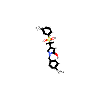 COc1ccc(CN2CC(C(C)(C)S(=O)(=O)c3cccc(C(F)(F)F)c3)CC2=O)cc1